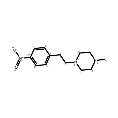 CN1CCN(CCc2ccc([N+](=O)[O-])cc2)CC1